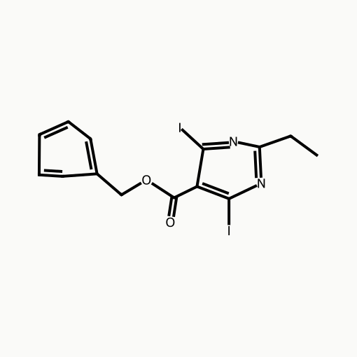 CCc1nc(I)c(C(=O)OCc2ccccc2)c(I)n1